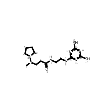 CN(CCC(=O)NCCNc1nc(S)nc(S)n1)N1CCCC1